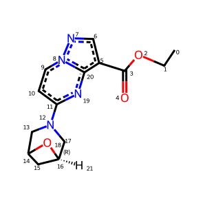 CCOC(=O)c1cnn2ccc(N3CC4C[C@H](C3)O4)nc12